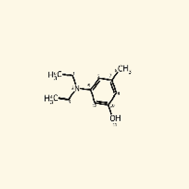 CCN(CC)c1cc(C)cc(O)c1